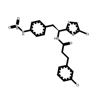 CCc1csc([C@H](Cc2ccc(N[SH](=O)=O)cc2)NC(=O)CCc2cccc(Cl)c2)n1